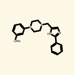 COc1cccc(N2CCN(Cc3cnc(-c4ccccc4)[nH]3)CC2)c1